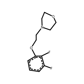 Fc1cccc(OCCN2CCOCC2)c1F